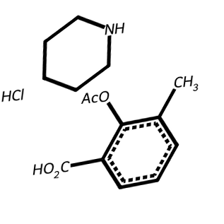 C1CCNCC1.CC(=O)Oc1c(C)cccc1C(=O)O.Cl